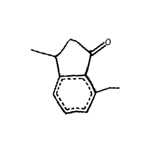 Cc1cccc2c1C(=O)CC2C